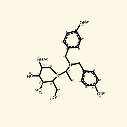 COc1ccc(CN(Cc2ccc(OC)cc2)C(C)N2CC(NC(C)=O)C(O)[C@H](O)C2CO)cc1